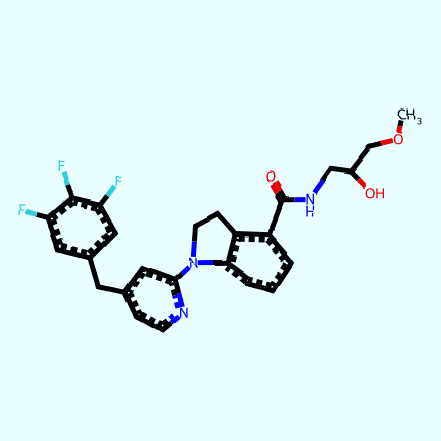 COCC(O)CNC(=O)c1cccc2c1CCN2c1cc(Cc2cc(F)c(F)c(F)c2)ccn1